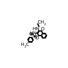 C=CCNC1=C(NS(=O)(=O)c2ccc(C)cc2)C(=O)c2ccccc2C1=O